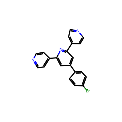 Brc1ccc(-c2cc(-c3ccncc3)nc(-c3ccncc3)c2)cc1